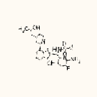 CC(O)Cc1ccnc(-c2cccc3cc(C(NS(=O)(=O)C4CC4)c4nc(N)c(F)cc4Cl)sc23)c1